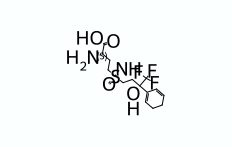 N=S(=O)(CC[C@H](N)C(=O)O)CCC(O)(C1=CCCC=C1)C(F)(F)F